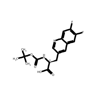 CC(C)(C)OC(=O)N[C@@H](Cc1cnc2cc(F)c(F)cc2c1)C(=O)O